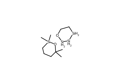 C1C[SiH2][SiH2][SiH2]O1.CC1(C)CCC[Si](C)(C)O1